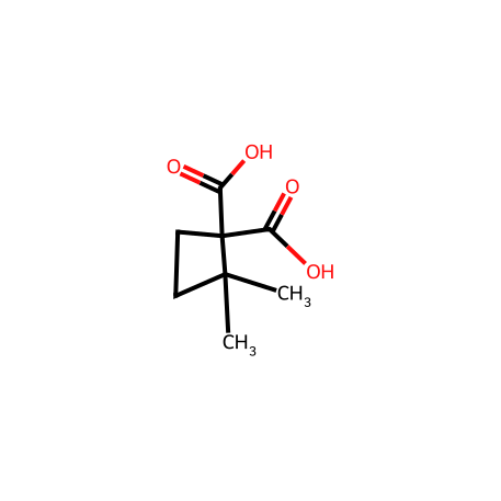 CC1(C)CCC1(C(=O)O)C(=O)O